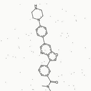 CN(C)C(=O)c1cccc(-c2coc3cc(-c4ccc(N5CCNCC5)cc4)cnc23)c1